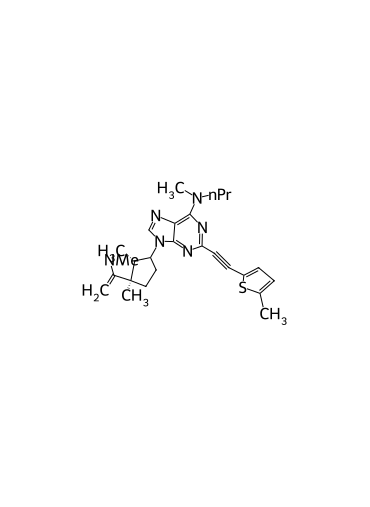 C=C(NC)[C@]1(C)CCC(n2cnc3c(N(C)CCC)nc(C#Cc4ccc(C)s4)nc32)[C@H]1C